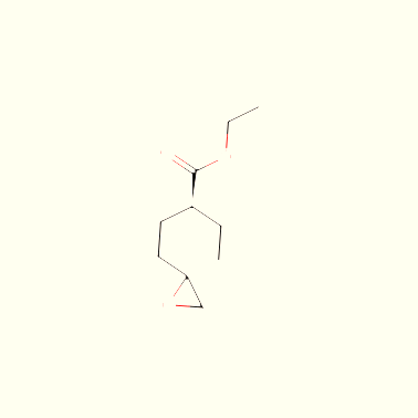 CCOC(=O)[C@H]1CC[C@]2(CC1)CO2